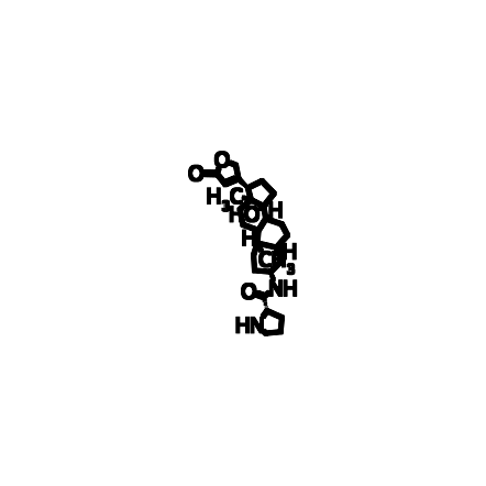 C[C@]12CC[C@H](NC(=O)[C@@H]3CCCN3)C[C@H]1CC[C@@H]1[C@@H]2CC[C@]2(C)[C@@H](C3=CC(=O)OC3)CC[C@]12O